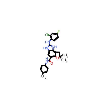 CC1(C)Cc2c3c(cc(C(=O)Nc4ccc(C(F)(F)F)cc4)c2O1)NC(Nc1ccc(F)cc1Cl)N3